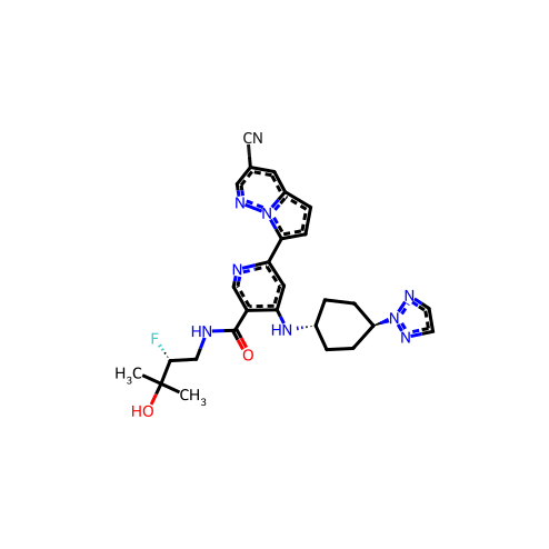 CC(C)(O)[C@H](F)CNC(=O)c1cnc(-c2ccc3cc(C#N)cnn23)cc1N[C@H]1CC[C@H](n2nccn2)CC1